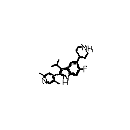 Cc1cc(-c2[nH]c3cc(F)c(C4CCNCC4)cc3c2C(C)C)c(C)cn1